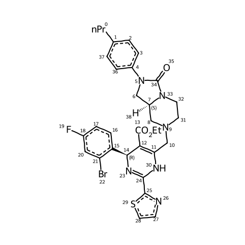 CCCc1ccc(N2C[C@@H]3CN(CC4=C(C(=O)OCC)[C@H](c5ccc(F)cc5Br)N=C(c5nccs5)N4)CCN3C2=O)cc1